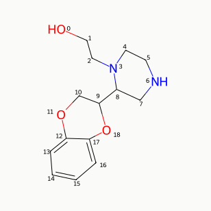 OCCN1CCNCC1C1COc2ccccc2O1